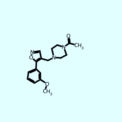 COc1cccc(-c2oncc2CN2CCN(C(C)=O)CC2)c1